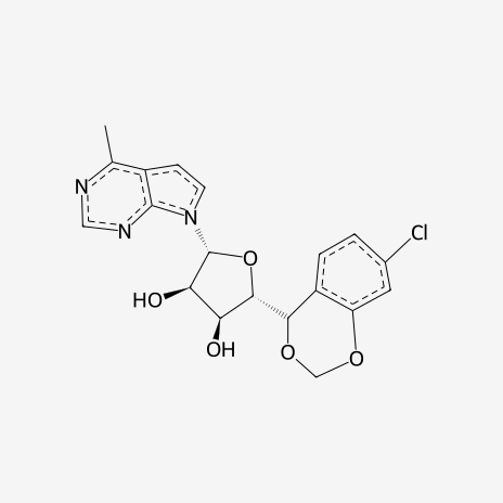 Cc1ncnc2c1ccn2[C@@H]1O[C@H](C2OCOc3cc(Cl)ccc32)[C@@H](O)[C@H]1O